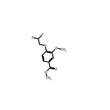 COC(=O)c1ccc(OCC(F)F)c(OC)c1